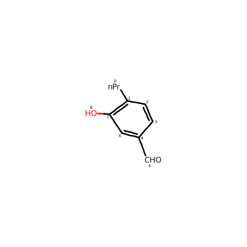 CCCc1ccc(C=O)cc1O